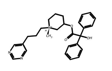 C[N@@+]1(CCCc2cncnc2)CCCC(OC(=O)C(O)(c2ccccc2)c2ccccc2)C1